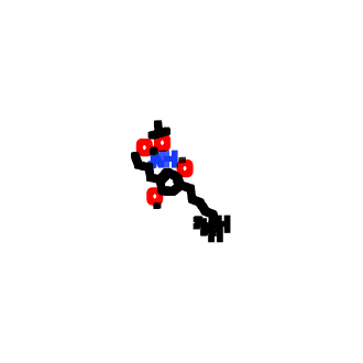 [2H]C([2H])([2H])CCCCCc1cc(OC)c(CC(CC)NC(=O)OC(C)(C)C)cc1OC